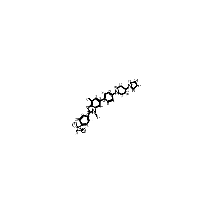 Cc1cc(-c2ccc(N3CCC(N4CCCC4)CC3)cc2)cc2c1nc(-c1ccc(S(C)(=O)=O)cc1)n2C